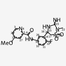 COc1ccnc(C(=O)Nc2ccc(F)c([C@]3(C)CS(=O)(=O)N(C)C(=N)N3)c2)c1